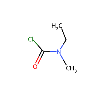 CCN(C)C(=O)Cl